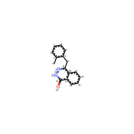 Cc1ccccc1Cc1n[nH]c(=O)c2ccccc12